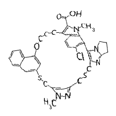 Cn1nc2cc1CSc1cc(c3ccccc3c1)OCCCc1c(C(=O)O)n(C)c3c(c(Cl)ccc13)-c1c(nc3n1CCC3)CSC2